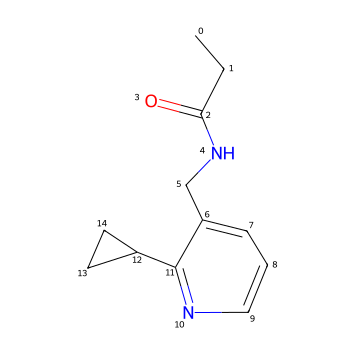 CCC(=O)NCc1cccnc1C1CC1